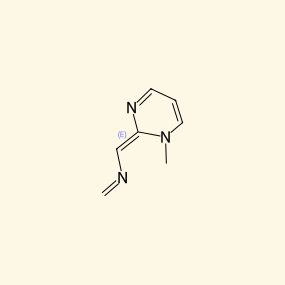 C=N/C=C1/N=CC=CN1C